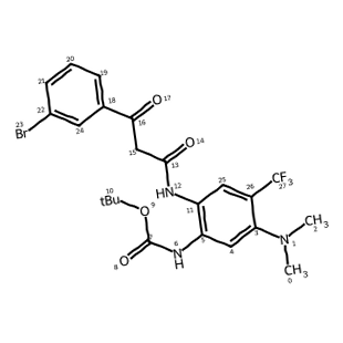 CN(C)c1cc(NC(=O)OC(C)(C)C)c(NC(=O)CC(=O)c2cccc(Br)c2)cc1C(F)(F)F